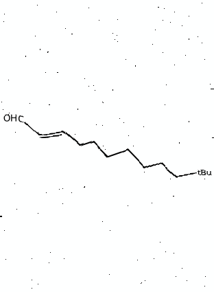 CC(C)(C)CCCCCCCC=CC=O